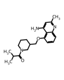 Cc1cc(N)c2c(OCC3CCCN(C(=O)C(C)C)C3)cccc2n1